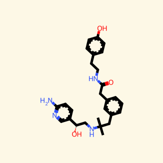 CC(C)(Cc1cccc(CC(=O)NCCc2ccc(O)cc2)c1)NC[C@H](O)c1ccc(N)nc1